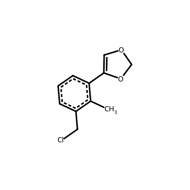 Cc1c(CCl)cccc1C1=COCO1